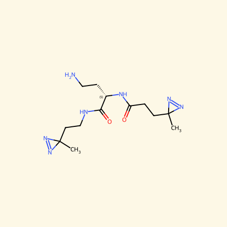 CC1(CCNC(=O)[C@H](CCN)NC(=O)CCC2(C)N=N2)N=N1